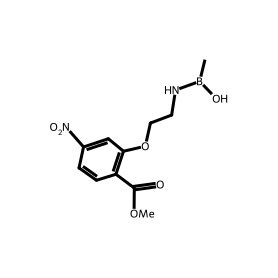 COC(=O)c1ccc([N+](=O)[O-])cc1OCCNB(C)O